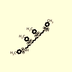 Cc1ccc(S(=O)(=O)NCCCCN(CCCCCN(CCCCNS(=O)(=O)c2ccc(C)cc2)S(=O)(=O)c2ccc(C)cc2)S(=O)(=O)c2ccc(C)cc2)cc1